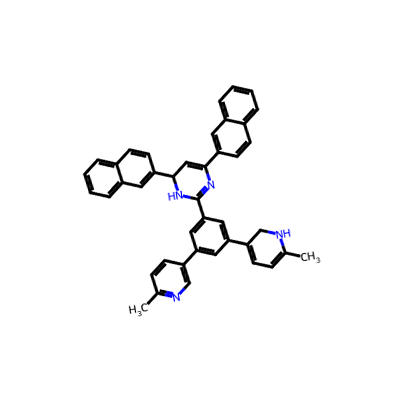 CC1=CC=C(c2cc(C3=NC(c4ccc5ccccc5c4)=CC(c4ccc5ccccc5c4)N3)cc(-c3ccc(C)nc3)c2)CN1